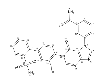 NC(=O)c1cccc(-n2cnc3ncn(-c4ccc(-c5ccccc5S(N)(=O)=O)cc4F)c(=O)c32)c1